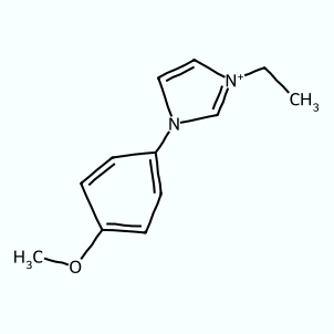 CC[n+]1ccn(-c2ccc(OC)cc2)c1